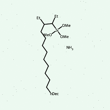 CCCCCCCCCCCCCCCCCCCC(CC)C(CC)[Si](OC)(OC)OC.N